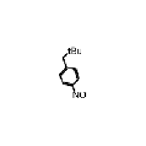 CC(C)(C)Cc1ccc(N=O)cc1